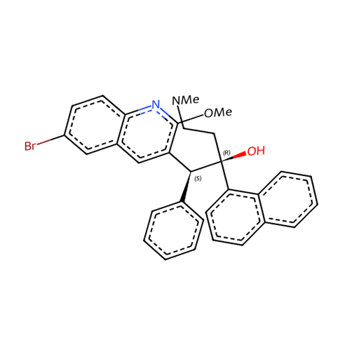 CNCC[C@](O)(c1cccc2ccccc12)[C@@H](c1ccccc1)c1cc2cc(Br)ccc2nc1OC